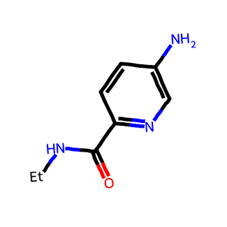 CCNC(=O)c1ccc(N)cn1